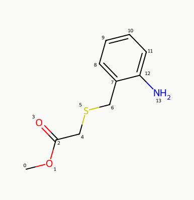 COC(=O)CSCc1ccccc1N